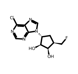 O[C@@H]1[C@H](CF)C[C@@H](n2cnc3c(Cl)ncnc32)[C@@H]1O